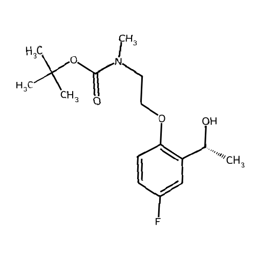 C[C@@H](O)c1cc(F)ccc1OCCN(C)C(=O)OC(C)(C)C